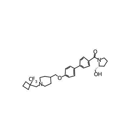 O=C(c1ccc(-c2ccc(OCC3CCN(CC4(C(F)(F)F)CCC4)CC3)cc2)cc1)N1CCC[C@@H]1CO